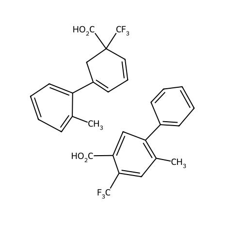 Cc1cc(C(F)(F)F)c(C(=O)O)cc1-c1ccccc1.Cc1ccccc1C1=CC=CC(C(=O)O)(C(F)(F)F)C1